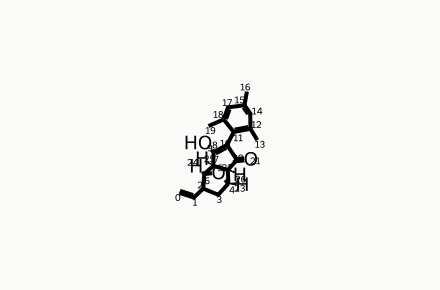 C=CC1C[C@@H]2O[C@H]1[C@H]1C(O)=C(c3c(C)cc(C)cc3C)C(=O)[C@H]12